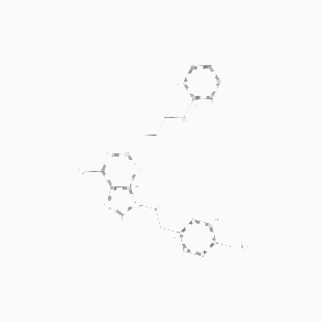 COc1ccc(CCn2cnc3c(N)nc(OCCCc4ccccc4)nc32)cc1